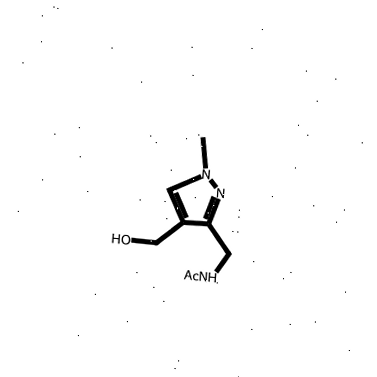 CC(=O)NCc1nn(C)cc1CO